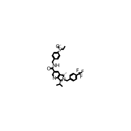 CC[S+]([O-])c1ccc(CNC(=O)c2cnc3c(c2)[C@H](C)N(Cc2ccc(C(F)(F)F)cc2)[C@H]3C(C)C)cc1